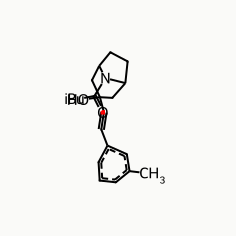 CCC(C)C(=O)N1C2CCC1CC(O)(C#Cc1cccc(C)c1)C2